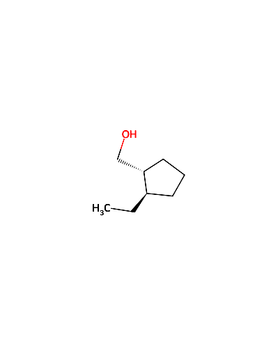 CC[C@@H]1CCC[C@H]1CO